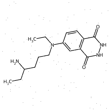 CCC(N)CCCN(CC)c1ccc2c(=O)[nH][nH]c(=O)c2c1